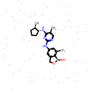 Cc1cnc(Nc2cc3c(c(C(F)(F)F)c2)B(O)OC3)nc1N[C@@H]1CCC[C@H]1C#N